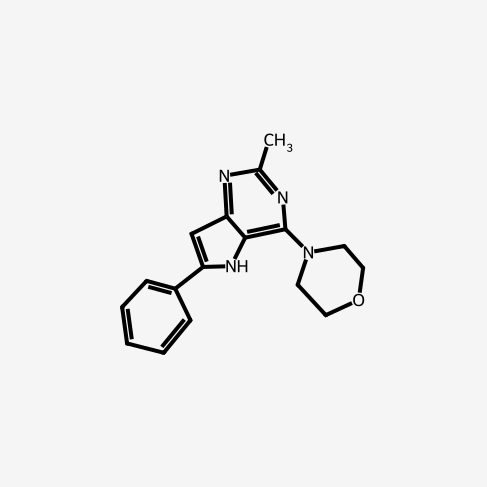 Cc1nc(N2CCOCC2)c2[nH]c(-c3ccccc3)cc2n1